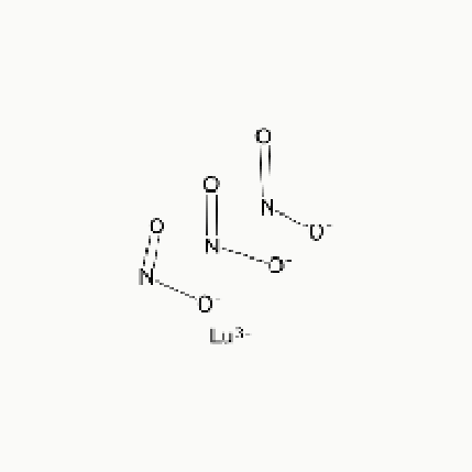 O=N[O-].O=N[O-].O=N[O-].[Lu+3]